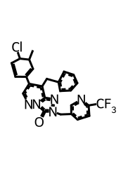 CC1C=C(c2cnn3c(=O)n(Cc4ccc(C(F)(F)F)nc4)nc3c2Cc2ccccc2)C=CC1Cl